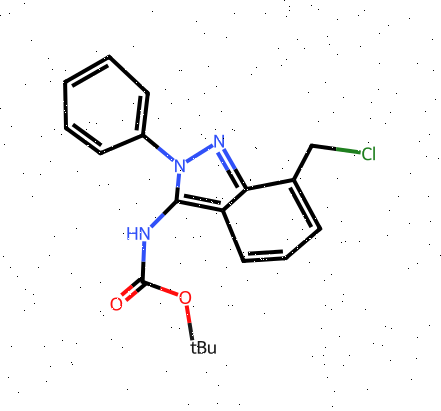 CC(C)(C)OC(=O)Nc1c2cccc(CCl)c2nn1-c1ccccc1